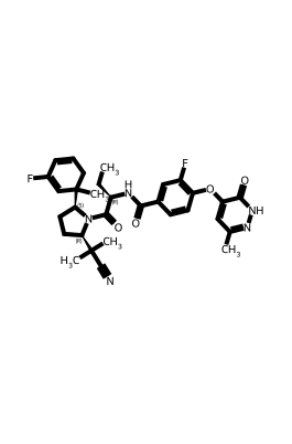 CC[C@@H](NC(=O)c1ccc(Oc2cc(C)n[nH]c2=O)c(F)c1)C(=O)N1[C@H](C2(C)C=C(F)C=CC2)CC[C@@H]1C(C)(C)C#N